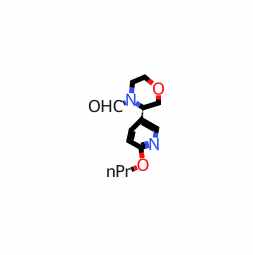 CCCOc1ccc([C@H]2COCCN2C=O)cn1